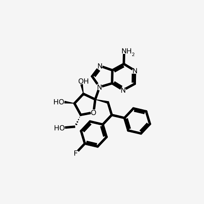 Nc1ncnc2c1ncn2[C@]1(CC(c2ccccc2)c2ccc(F)cc2)O[C@H](CO)[C@@H](O)[C@H]1O